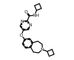 O=C(NC1CCC1)c1ncc(Oc2ccc3c(c2)CCN(C2CCC2)CC3)cn1